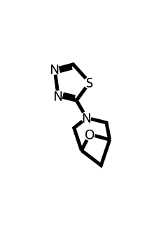 c1nnc(N2CC3CC(C2)O3)s1